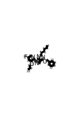 C=CCCCc1nc(OCc2ccccc2)c2cnn(-c3ncc(F)cc3OCC=C)c2n1